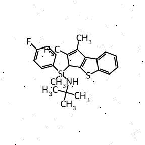 CC1=C(C)C([Si](C)(NC(C)(C)C)c2ccc(F)cc2)c2sc3ccccc3c21